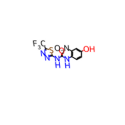 O=C(Nc1nnc(C(F)(F)F)s1)Nc1ccc(O)cc1[N+](=O)[O-]